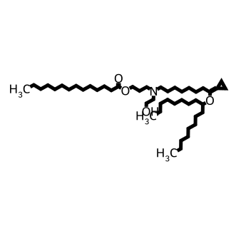 CCCCCCCCCCCCCC(=O)OCCCN(CCO)CCCCCCCC(OC(CCCCCCCC)CCCCCCCC)=C1CC1